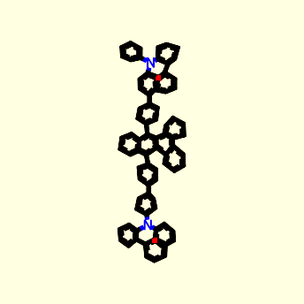 c1ccc(-c2ccccc2N(c2ccccc2)c2ccc(-c3ccc(-c4c5ccccc5c(-c5ccc(-c6ccc(N(c7ccccc7)c7ccccc7-c7ccccc7)cc6)cc5)c5c6ccccc6c6ccccc6c45)cc3)cc2)cc1